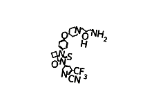 N#Cc1ncc(N2C(=O)C3(CCC3)N(c3ccc(OC4CCN(CC(O)CN)CC4)cc3)C2=S)cc1C(F)(F)F